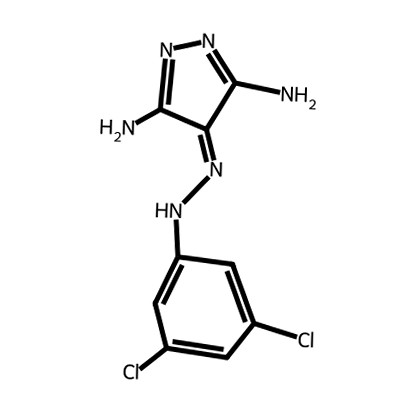 NC1=NN=C(N)C1=NNc1cc(Cl)cc(Cl)c1